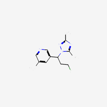 Cc1cncc(C(CCF)n2nc(C)nc2C)c1